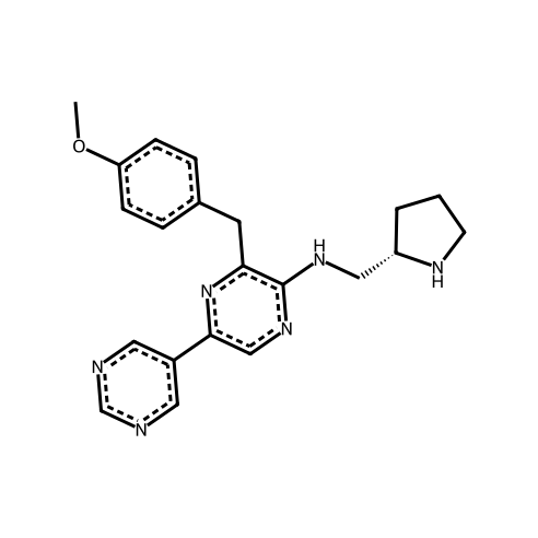 COc1ccc(Cc2nc(-c3cncnc3)cnc2NC[C@@H]2CCCN2)cc1